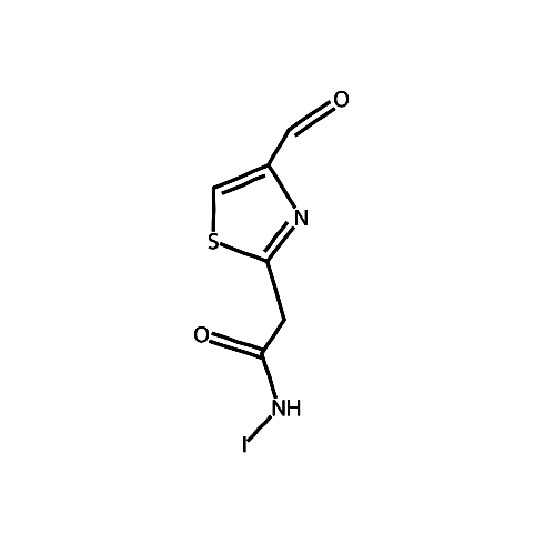 O=Cc1csc(CC(=O)NI)n1